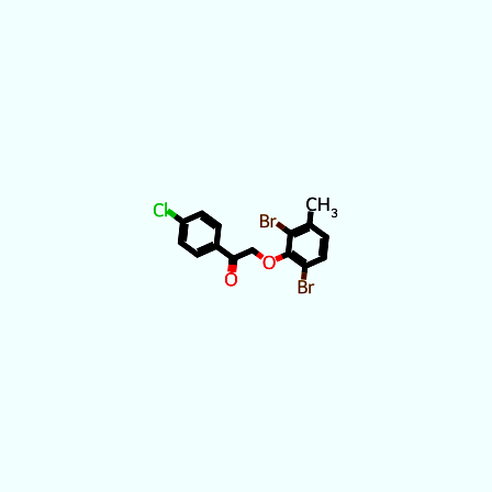 Cc1ccc(Br)c(OCC(=O)c2ccc(Cl)cc2)c1Br